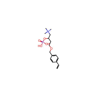 C=Cc1ccc(COCCC(C[N+](C)(C)C)OP(=O)(O)O)cc1